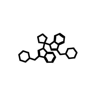 C1=C(CC2CCCCC2)c2ccccc2C1C1(C2C=C(CC3CCCCC3)c3ccccc32)CCCC1